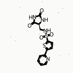 O=C1NC(=O)[C@H](CNS(=O)(=O)c2ccc(-c3ccccn3)s2)N1